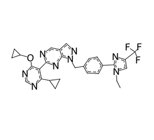 CCn1cc(C(F)(F)F)nc1-c1ccc(Cn2ncc3cnc(-c4c(OC5CC5)ncnc4C4CC4)nc32)cc1